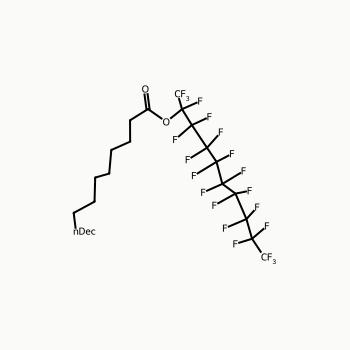 CCCCCCCCCCCCCCCCCC(=O)OC(F)(C(F)(F)F)C(F)(F)C(F)(F)C(F)(F)C(F)(F)C(F)(F)C(F)(F)C(F)(F)C(F)(F)F